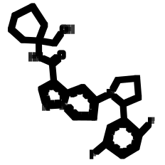 O=C(NC1(CO)CCCCC1)c1cnn2ccc(N3CCCC3c3cc(F)ccc3F)cc12